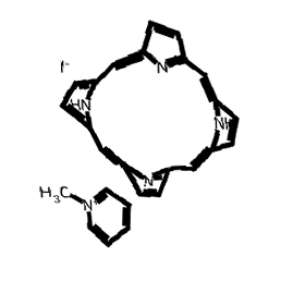 C1=Cc2cc3ccc(cc4nc(cc5ccc(cc1n2)[nH]5)C=C4)[nH]3.C[n+]1ccccc1.[I-]